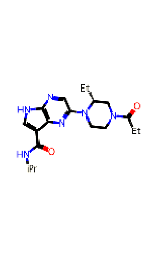 CCC(=O)N1CCN(c2cnc3[nH]cc(C(=O)NC(C)C)c3n2)[C@@H](CC)C1